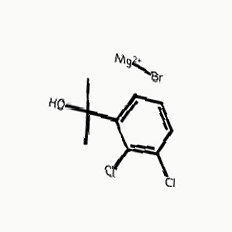 CC(C)(O)c1cccc(Cl)c1Cl.[Mg+2][Br]